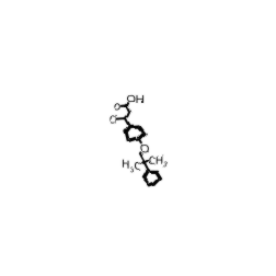 CC(C)(COc1ccc(C(Cl)CC(=O)O)cc1)c1ccccc1